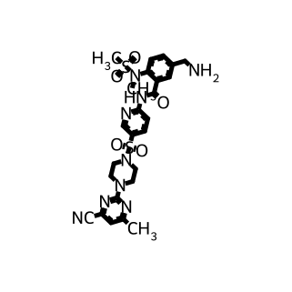 Cc1cc(C#N)nc(N2CCN(S(=O)(=O)c3ccc(NC(=O)c4cc(CN)ccc4N(C)S(C)(=O)=O)nc3)CC2)n1